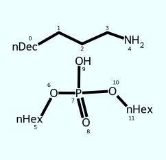 CCCCCCCCCCCCCN.CCCCCCOP(=O)(O)OCCCCCC